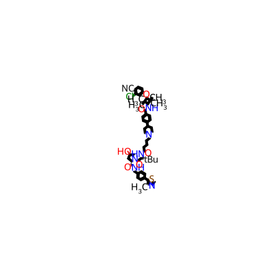 Cc1ncsc1-c1ccc(CNC(=O)[C@@H]2C[C@@H](O)CN2C(=O)C(NC(=O)CCCCN2CCC(c3ccc(C(=O)N[C@H]4C(C)(C)[C@H](Oc5ccc(C#N)c(Cl)c5)C4(C)C)cc3)CC2)C(C)(C)C)cc1